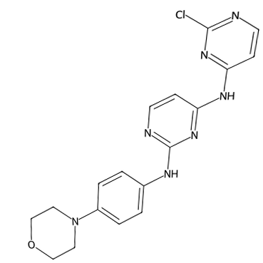 Clc1nccc(Nc2ccnc(Nc3ccc(N4CCOCC4)cc3)n2)n1